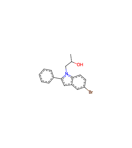 CC(O)Cn1c(-c2ccccc2)cc2cc(Br)ccc21